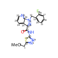 COCc1nnc(NC(=O)c2nn(Cc3ccccc3F)c3ncccc23)s1